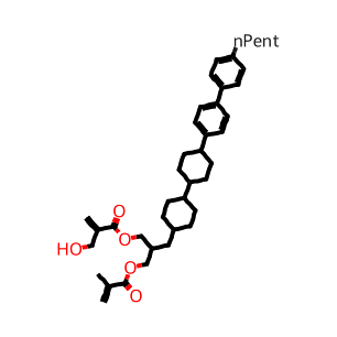 C=C(C)C(=O)OCC(COC(=O)C(=C)CO)CC1CCC(C2CCC(c3ccc(-c4ccc(CCCCC)cc4)cc3)CC2)CC1